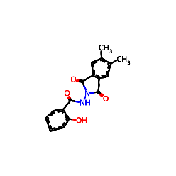 Cc1cc2c(cc1C)C(=O)N(NC(=O)c1ccccc1O)C2=O